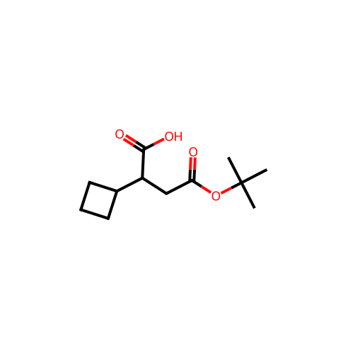 CC(C)(C)OC(=O)CC(C(=O)O)C1CCC1